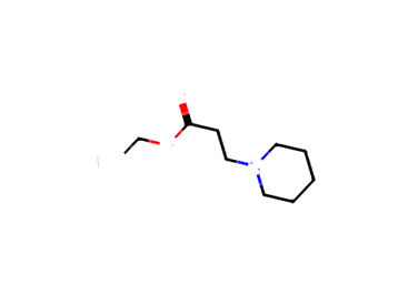 O=C(CCN1CCCCC1)OCC(F)(F)F